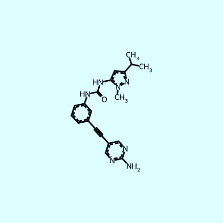 CC(C)c1cc(NC(=O)Nc2cccc(C#Cc3cnc(N)nc3)c2)n(C)n1